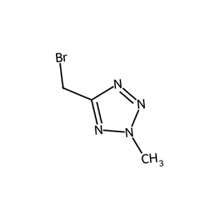 Cn1nnc(CBr)n1